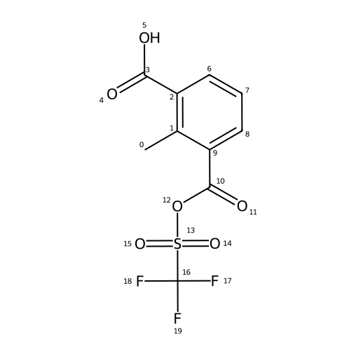 Cc1c(C(=O)O)cccc1C(=O)OS(=O)(=O)C(F)(F)F